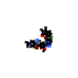 COc1cc(C(=O)N[C@H]2CCN(C(C)C)C[C@H]2F)c(F)cc1Nc1ncc(Cl)c(Oc2cccc3c2C(=O)N(C)[C@H]3C)n1